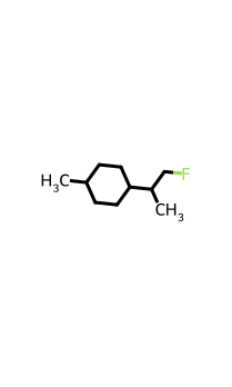 CC1CCC(C(C)CF)CC1